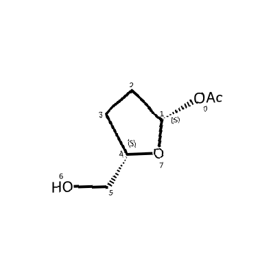 CC(=O)O[C@H]1CC[C@@H](CO)O1